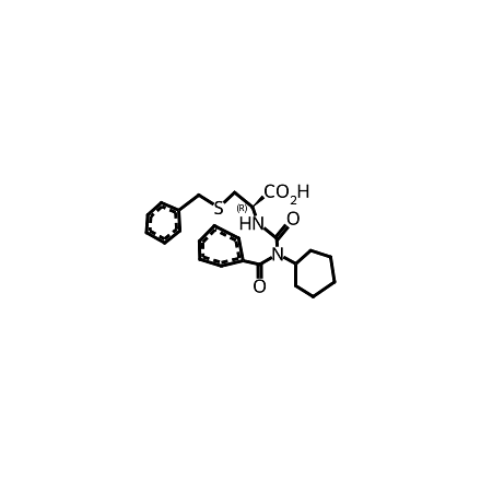 O=C(O)[C@H](CSCc1ccccc1)NC(=O)N(C(=O)c1ccccc1)C1CCCCC1